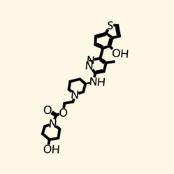 Cc1cc(N[C@@H]2CCCN(CCOC(=O)N3CCC(O)CC3)C2)nnc1-c1ccc2sccc2c1O